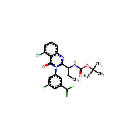 CC[C@H](NC(=O)OC(C)(C)C)c1nc2cccc(Cl)c2c(=O)n1-c1cc(F)cc(C(F)F)c1